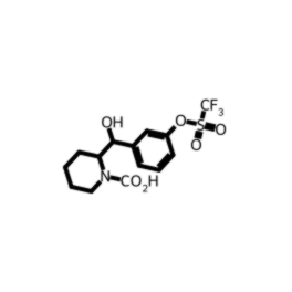 O=C(O)N1CCCCC1C(O)c1cccc(OS(=O)(=O)C(F)(F)F)c1